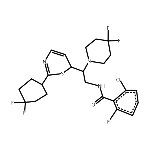 O=C(NCC(C1C=CN=C(C2CCC(F)(F)CC2)S1)N1CCC(F)(F)CC1)c1c(F)cccc1Cl